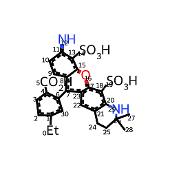 CCc1ccc(C(=O)O)c(-c2c3ccc(=N)c(S(=O)(=O)O)c-3oc3c(S(=O)(=O)O)c4c(cc23)CCC(C)(C)N4)c1